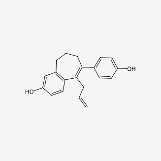 C=CCC1=C(c2ccc(O)cc2)CCCc2cc(O)ccc21